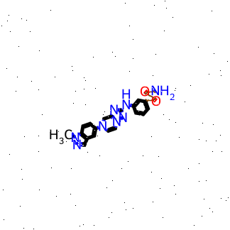 Cn1ncc2cc(N3C=Cn4nc(Nc5cccc(S(N)(=O)=O)c5)nc4C3)ccc21